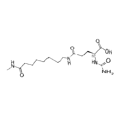 CNC(=O)CCCCCCCNC(=O)CC[C@H](NC(N)=O)C(=O)O